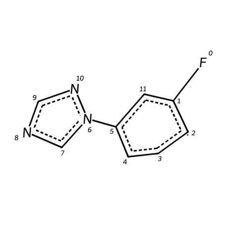 Fc1[c]ccc(-n2cncn2)c1